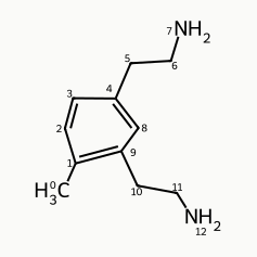 Cc1ccc(CCN)cc1CCN